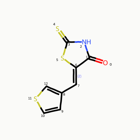 O=C1NC(=S)S/C1=C\c1ccsc1